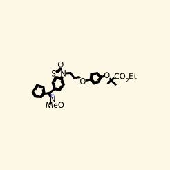 CCOC(=O)C(C)(C)Oc1ccc(OCCCn2c(=O)sc3cc(/C(=N/OC)c4ccccc4)ccc32)cc1